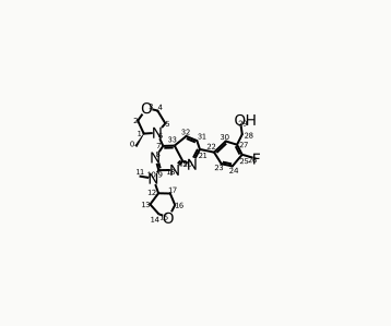 C[C@H]1COCCN1c1nc(N(C)C2CCOCC2)nc2nc(-c3ccc(F)c(CO)c3)ccc12